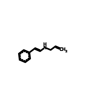 C=CCNC=Cc1ccccc1